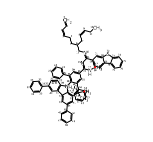 C=C/C=C\CCC(C/C=C\CC)C/N=C(\N=C(/NC)c1cc(-c2ccccc2)c(-n2c3ccc(-c4ccccc4)cc3c3cc(-c4ccccc4)cc(C(C)(C)C)c32)c(-c2ccccc2)c1)c1ccc2c(c1)sc1ccccc12